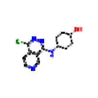 OC1CCC(Nc2nnc(Cl)c3ccncc23)CC1